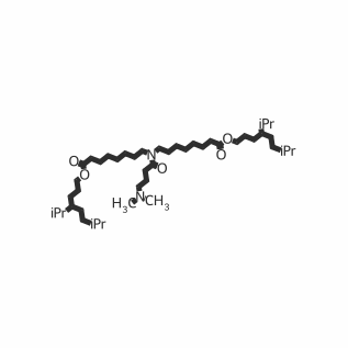 CC(C)CCC(CCCOC(=O)CCCCCCCN(CCCCCCCC(=O)OCCCC(CCC(C)C)C(C)C)C(=O)CCCN(C)C)C(C)C